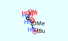 COC(=O)C(CCCCNC(=O)OC(C)(C)C)NC(=O)c1cccc(NC(=O)C(O)(O)O)c1